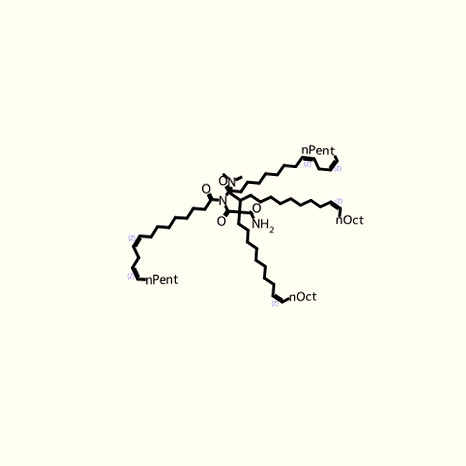 CCCCC/C=C\C/C=C\CCCCCCCC(=O)N(C(=O)CCCCCCC/C=C\C/C=C\CCCCC)C(=O)C(CCCCCCCC/C=C\CCCCCCCC)(C(N)=O)C(CCCCCCCC/C=C\CCCCCCCC)CN(C)C